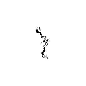 C=CCSOS(=O)(=O)OSCC=C